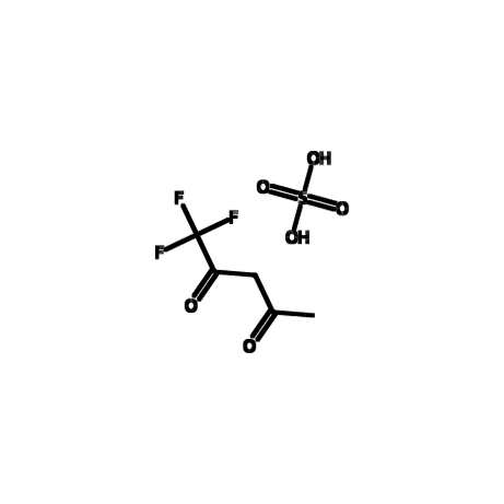 CC(=O)CC(=O)C(F)(F)F.O=S(=O)(O)O